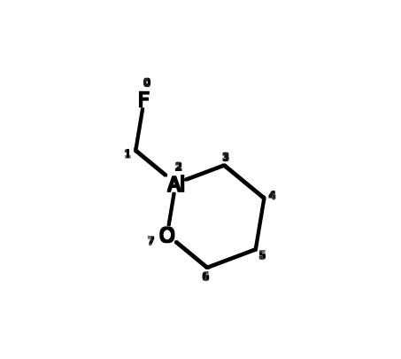 F[CH2][Al]1[CH2]CCC[O]1